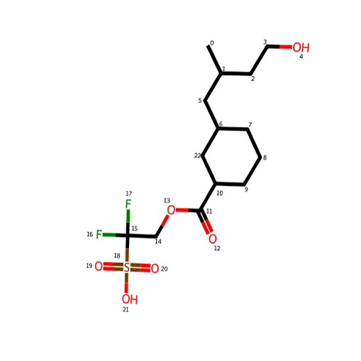 CC(CCO)CC1CCCC(C(=O)OCC(F)(F)S(=O)(=O)O)C1